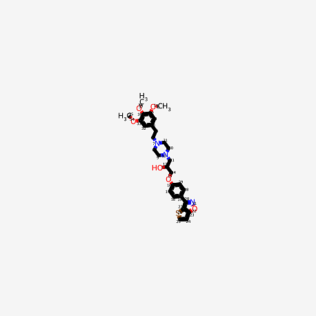 COc1cc(CCN2CCN(CC(O)COc3ccc(-c4noc5ccsc45)cc3)CC2)cc(OC)c1OC